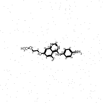 COCCOc1cc(F)c2c(Nc3ccc(N)cc3)ncnc2c1